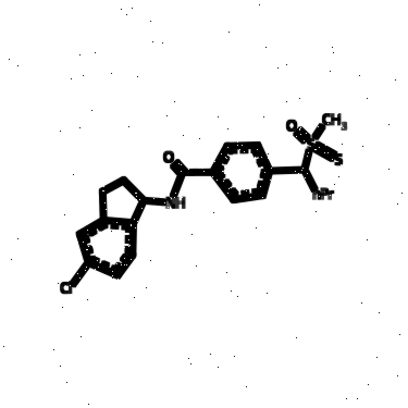 CCCC(c1ccc(C(=O)NC2CCc3cc(Cl)ccc32)cc1)S(C)(=O)=S